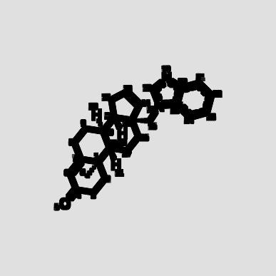 C[C@]12CCC(=O)C=C1CC[C@H]1[C@@H]3CC=C[C@@]3(Cn3cnc4ccccc43)CC[C@@H]12